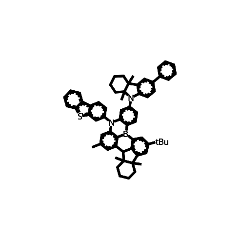 Cc1cc2c3c(c1)N(c1ccc4c(c1)sc1ccccc14)c1cc(N4c5ccc(-c6ccccc6)cc5C5(C)CCCCC45C)ccc1B3c1cc(C(C)(C)C)cc3c1C2C1(C)CCCCC31C